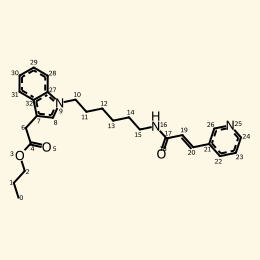 CCCOC(=O)Cc1cn(CCCCCCNC(=O)/C=C/c2cccnc2)c2ccccc12